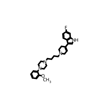 COc1ccccc1N1CCN(CCCCN2CC=C(c3c[nH]c4cc(F)ccc34)CC2)CC1